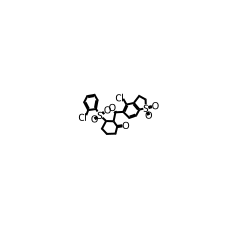 O=C1CCCC(S(=O)(=O)c2ccccc2Cl)C1C(=O)c1ccc2c(c1Cl)CCS2(=O)=O